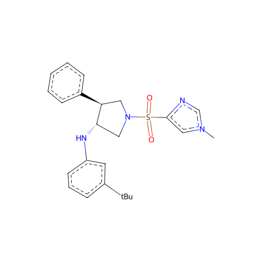 Cn1cnc(S(=O)(=O)N2C[C@H](Nc3cccc(C(C)(C)C)c3)[C@@H](c3ccccc3)C2)c1